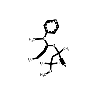 CC=C=C(SC(C)(C#N)CC(C)(C)OC)N(C)c1ccncc1